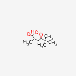 CC(CC(=O)C(C)(C)C)C(=O)O